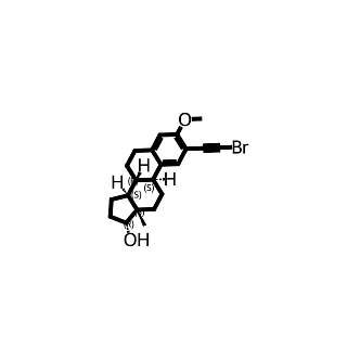 COc1cc2c(cc1C#CBr)[C@H]1CC[C@]3(C)[C@H](O)CC[C@H]3[C@@H]1CC2